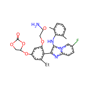 CCc1cc(OC2COC(=O)O2)cc(OCC(N)=O)c1-c1nc2ccc(F)cn2c1Nc1c(C)cccc1C